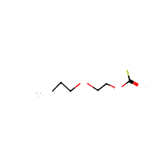 COCCOCCOC(=O)[S]